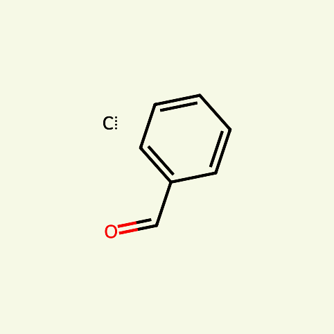 O=Cc1ccccc1.[C]